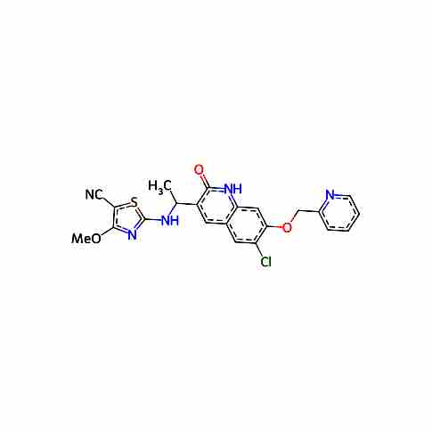 COc1nc(NC(C)c2cc3cc(Cl)c(OCc4ccccn4)cc3[nH]c2=O)sc1C#N